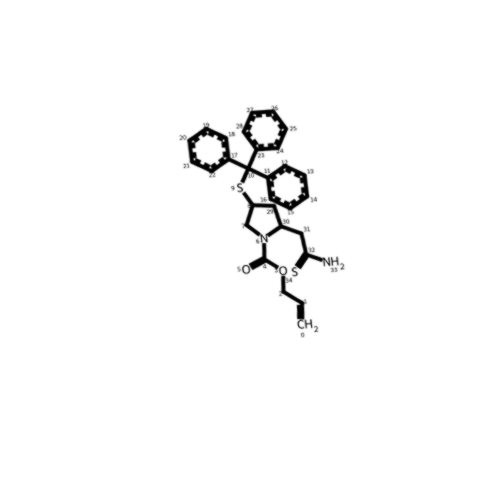 C=CCOC(=O)N1CC(SC(c2ccccc2)(c2ccccc2)c2ccccc2)CC1CC(N)=S